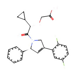 O=C(O)CO[C@H](C(=O)N1CC(c2cc(F)ccc2F)=C[C@H]1c1ccccc1)C1CC1